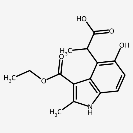 CCOC(=O)c1c(C)[nH]c2ccc(O)c(C(C)C(=O)O)c12